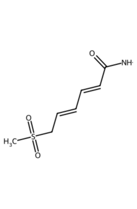 CS(=O)(=O)CC=CC=CC([NH])=O